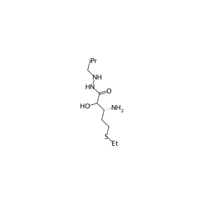 CCSCC[C@@H](N)C(O)C(=O)NNCC(C)C